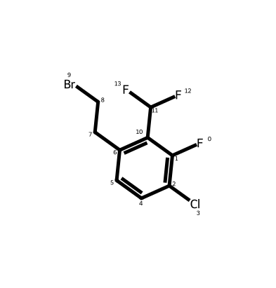 Fc1c(Cl)ccc(CCBr)c1C(F)F